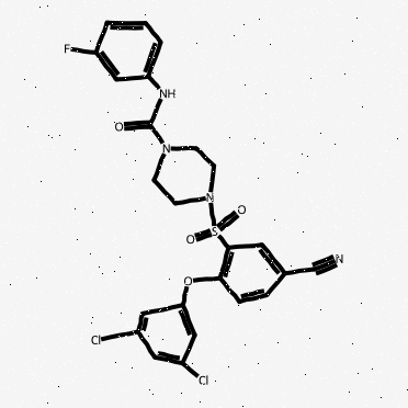 N#Cc1ccc(Oc2cc(Cl)cc(Cl)c2)c(S(=O)(=O)N2CCN(C(=O)Nc3cccc(F)c3)CC2)c1